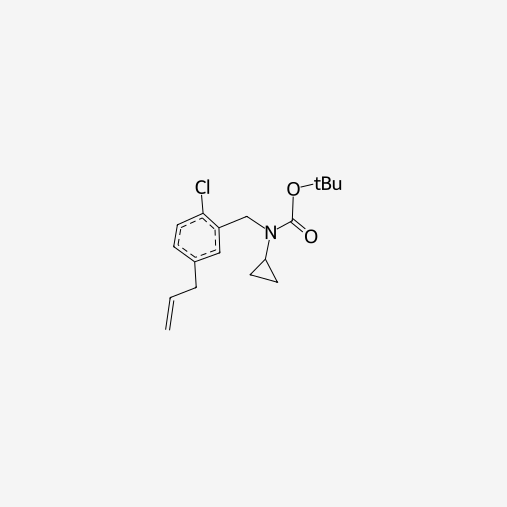 C=CCc1ccc(Cl)c(CN(C(=O)OC(C)(C)C)C2CC2)c1